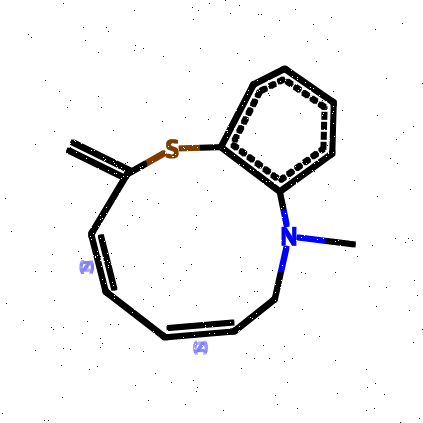 C=C1/C=C\C=C/CN(C)c2ccccc2S1